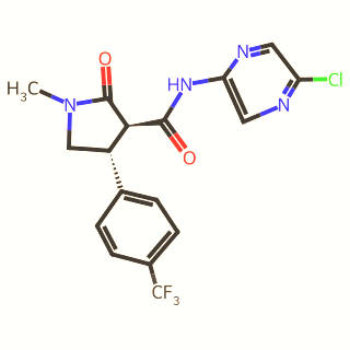 CN1C[C@@H](c2ccc(C(F)(F)F)cc2)[C@H](C(=O)Nc2cnc(Cl)cn2)C1=O